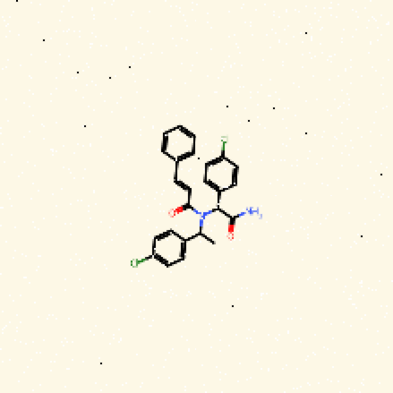 CC(c1ccc(Cl)cc1)N(C(=O)C=Cc1ccccc1)C(C(N)=O)c1ccc(Cl)cc1